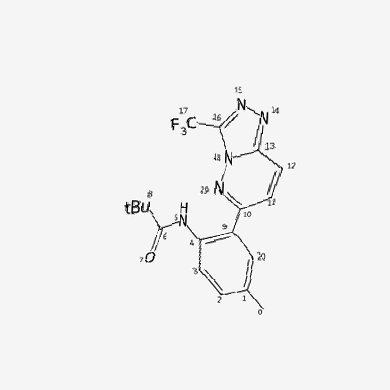 Cc1ccc(NC(=O)C(C)(C)C)c(-c2ccc3nnc(C(F)(F)F)n3n2)c1